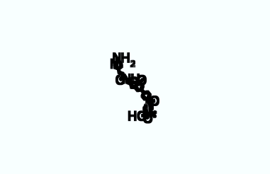 COc1cc(-c2ccc(C(=O)N3CCN(C(=O)O)C(C(C)(C)C)C3)cc2)cc2cc(CNC(=O)C=Cc3ccc(N)nc3)oc12